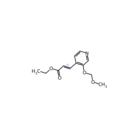 CCOC(=O)/C=C/c1ccncc1OCOC